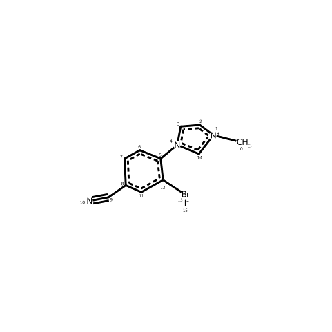 C[n+]1ccn(-c2ccc(C#N)cc2Br)c1.[I-]